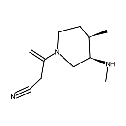 C=C(CC#N)N1CC[C@@H](C)[C@@H](NC)C1